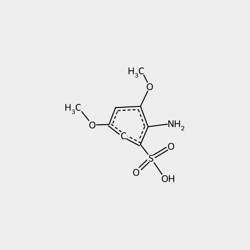 COc1cc(OC)c(N)c(S(=O)(=O)O)c1